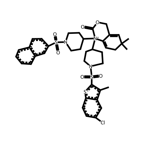 Cc1c(S(=O)(=O)N2CCC([N+]3(C4CCN(S(=O)(=O)c5ccc6ccccc6c5)CC4)C(=O)OCC4=CC(C)(C)CC=C43)CC2)sc2ccc(Cl)cc12